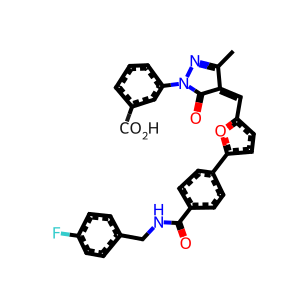 CC1=NN(c2cccc(C(=O)O)c2)C(=O)C1=Cc1ccc(-c2ccc(C(=O)NCc3ccc(F)cc3)cc2)o1